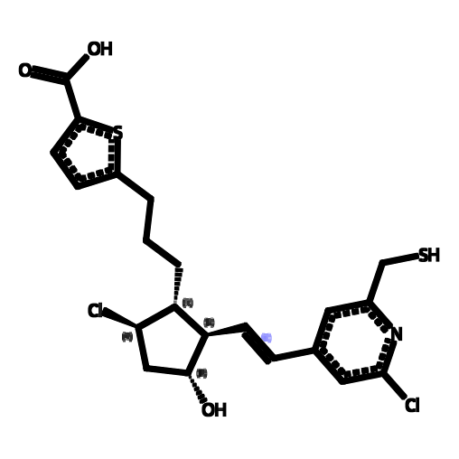 O=C(O)c1ccc(CCC[C@@H]2[C@@H](/C=C/c3cc(Cl)nc(CS)c3)[C@H](O)C[C@H]2Cl)s1